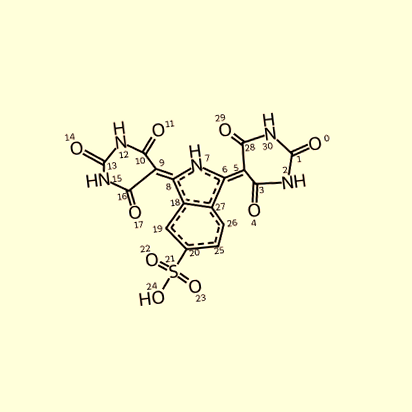 O=C1NC(=O)C(=c2[nH]c(=C3C(=O)NC(=O)NC3=O)c3cc(S(=O)(=O)O)ccc23)C(=O)N1